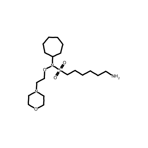 NCCCCCCS(=O)(=O)N(OCCN1CCOCC1)C1CCCCCC1